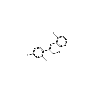 Fc1ccc(/C(=C/c2ccccc2F)CCl)c(F)c1